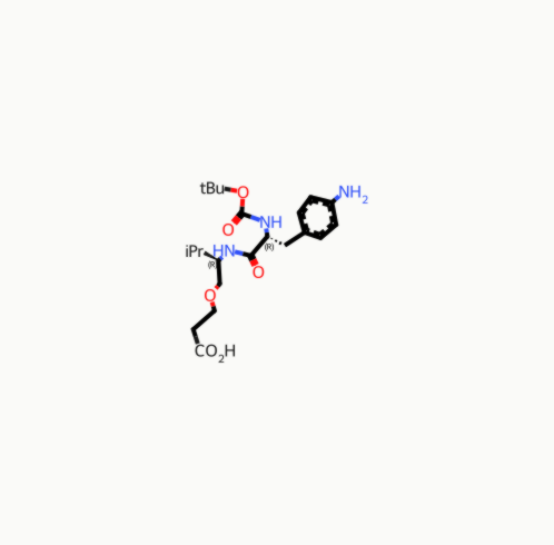 CC(C)[C@H](COCCC(=O)O)NC(=O)[C@@H](Cc1ccc(N)cc1)NC(=O)OC(C)(C)C